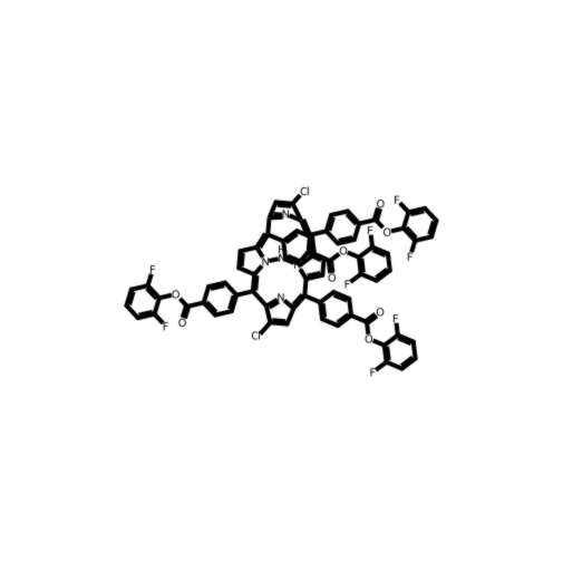 O=C(Oc1c(F)cccc1F)c1ccc(/C2=C3\C=C(Cl)C(=N3)/C(c3ccc(C(=O)Oc4c(F)cccc4F)cc3)=c3/cc/c4n3Nn3c2ccc3/C(c2ccc(C(=O)Oc3c(F)cccc3F)cc2)=C2N=C(C=C\2Cl)/C=4c2ccc(C(=O)Oc3c(F)cccc3F)cc2)cc1